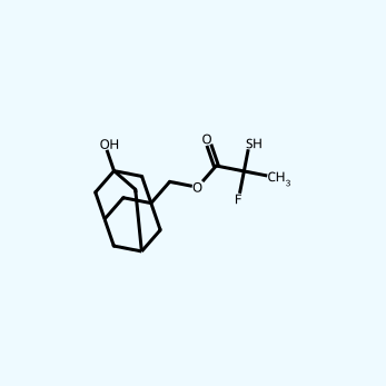 CC(F)(S)C(=O)OCC12CC3CC(CC(O)(C3)C1)C2